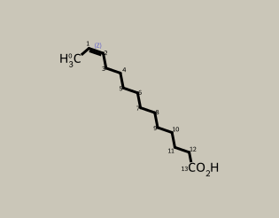 C/C=C\CCCCCCCCCCC(=O)O